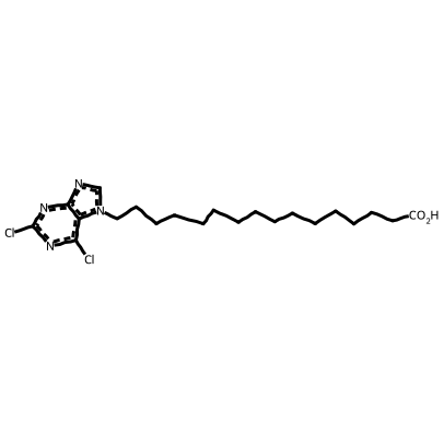 O=C(O)CCCCCCCCCCCCCCCn1cnc2nc(Cl)nc(Cl)c21